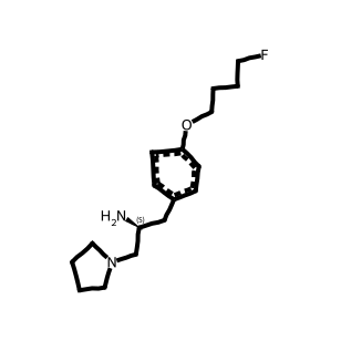 N[C@@H](Cc1ccc(OCCCCF)cc1)CN1CCCC1